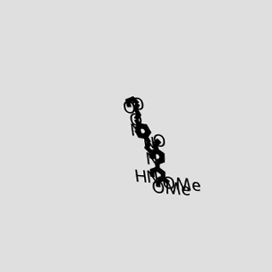 COC1=C(OC)NCC(c2ccc3c(n2)CN(c2ccc(OCC4OCCO4)nc2)C3=O)=C1